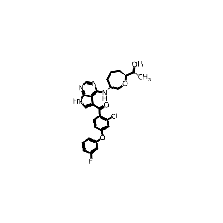 C[C@@H](O)[C@@H]1CCC[C@@H](Nc2ncnc3[nH]cc(C(=O)c4ccc(Oc5cccc(F)c5)cc4Cl)c23)CO1